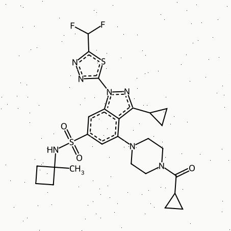 CC1(NS(=O)(=O)c2cc(N3CCN(C(=O)C4CC4)CC3)c3c(C4CC4)nn(-c4nnc(C(F)F)s4)c3c2)CCC1